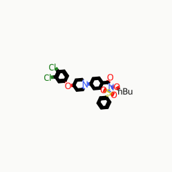 CCCCON(C(=O)C1CCC(N2CCC(Oc3ccc(Cl)c(Cl)c3)CC2)CC1)S(=O)(=O)c1ccccc1